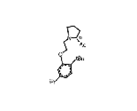 CC(=O)[C@@H]1CCCN1CCOc1cc(C(C)C)ccc1C(C)(C)C